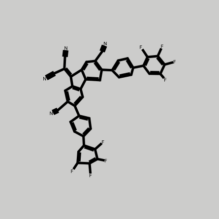 N#CC(C#N)=C1c2cc(C#N)c(-c3ccc(-c4cc(F)c(F)c(F)c4F)cc3)cc2-c2cc(-c3ccc(-c4cc(F)c(F)c(F)c4F)cc3)c(C#N)cc21